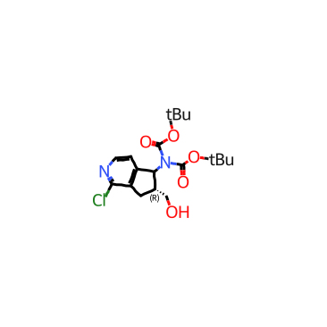 CC(C)(C)OC(=O)N(C(=O)OC(C)(C)C)C1c2ccnc(Cl)c2C[C@H]1CO